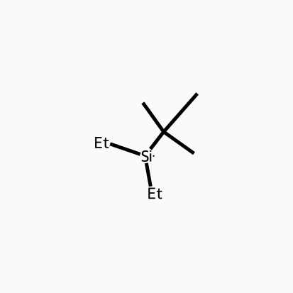 CC[Si](CC)C(C)(C)C